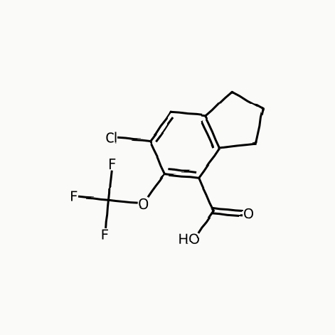 O=C(O)c1c2c(cc(Cl)c1OC(F)(F)F)CCC2